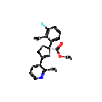 COC(=O)[C@]1(c2cccc(F)c2C)C=C(c2cccnc2C)CC1